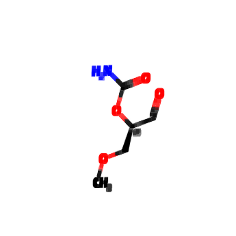 COC[C@H](C=O)OC(N)=O